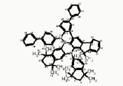 CC1(C)CCC(C)(C)c2cc(N3c4cc5c(cc4B4c6c(cc7c(c63)C(C)(C)c3ccccc3-7)-c3cc(-c6ccccc6)ccc3N4c3ccc(-c4ccccc4)cc3)C(C)(C)CCC5(C)C)ccc21